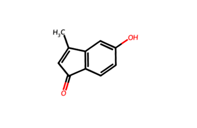 CC1=CC(=O)c2ccc(O)cc21